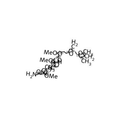 C=C1C[C@H](CC[C@H]2C[C@H]([C@H]3C[C@@H](OC)[C@H]4O[C@@H](CC(=O)C[C@@H]5[C@@H](OC)[C@@H](C[C@H](O)CN)O[C@H]5C)CC[C@@H]4O3)[C@H](OC)C2)O[C@H]1CC[C@H]1C[C@@H](C)C(=C)[C@@H](C)O1